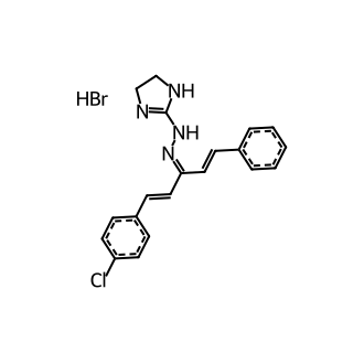 Br.Clc1ccc(C=CC(C=Cc2ccccc2)=NNC2=NCCN2)cc1